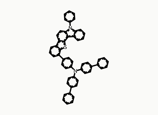 c1ccc(-c2ccc(N(c3ccc(-c4ccccc4)cc3)c3ccc(-c4cccc5c4sc4c5ccc5c4c4ccccc4n5-c4ccccc4)cc3)cc2)cc1